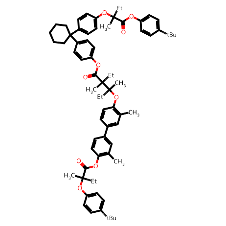 CCC(C)(Oc1ccc(C2(c3ccc(OC(=O)C(C)(CC)C(C)(CC)Oc4ccc(-c5ccc(OC(=O)C(C)(CC)Oc6ccc(C(C)(C)C)cc6)c(C)c5)cc4C)cc3)CCCCC2)cc1)C(=O)Oc1ccc(C(C)(C)C)cc1